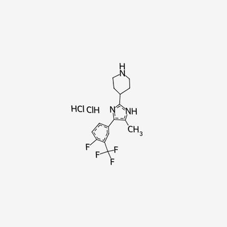 Cc1[nH]c(C2CCNCC2)nc1-c1ccc(F)c(C(F)(F)F)c1.Cl.Cl